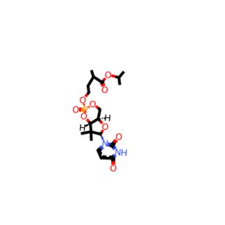 CC(C)OC(=O)C(C)CCO[P@@]1(=O)OC[C@H]2O[C@@H](n3ccc(=O)[nH]c3=O)C(C)(C)[C@@H]2O1